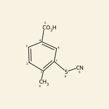 Cc1ccc(C(=O)O)cc1SC#N